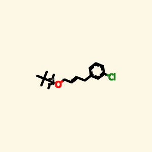 CC(C)(C)[Si](C)(C)OCC=CCc1cccc(Cl)c1